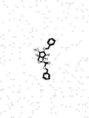 O=C(OCc1ccccc1)N1OC[C@@H]2[C@@H](O)[C@H](OCc3ccccc3)[C@@H](F)[C@@H]21